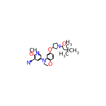 COc1ncc(N2CCOc3ccc(OC4CCN(C(=O)CC(C)(C)C)C4)cc32)cc1C#N